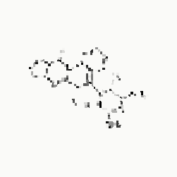 CC(Nc1nc(N)nc(N)c1C#N)c1nc2cccn2c(=O)n1-c1ccccc1